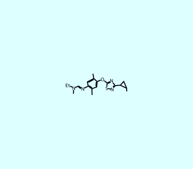 CCN(C)C=Nc1cc(C)c(Oc2nc(C3CC3C)ns2)cc1C